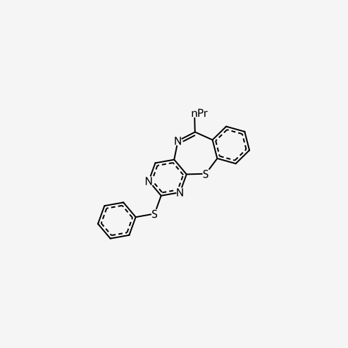 CCCC1=Nc2cnc(Sc3ccccc3)nc2Sc2ccccc21